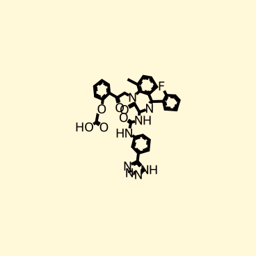 Cc1cccc2c1N(CC(=O)c1ccccc1OCC(=O)O)C(=O)C(NC(=O)Nc1cccc(-c3nnn[nH]3)c1)N=C2c1ccccc1F